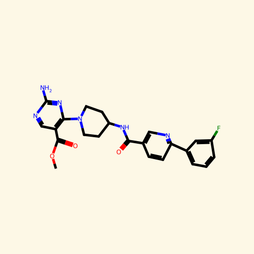 COC(=O)c1cnc(N)nc1N1CCC(NC(=O)c2ccc(-c3cccc(F)c3)nc2)CC1